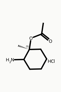 CC(=O)O[C@@]1(C)CCCCC1N.Cl